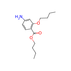 CCCCOC(=O)c1ccc(N)cc1OCCCC